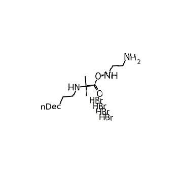 Br.Br.Br.Br.CCCCCCCCCCCCNC(C)(C)C(=O)ONCCN